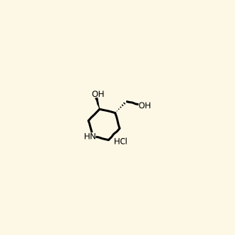 Cl.OC[C@@H]1CCNC[C@H]1O